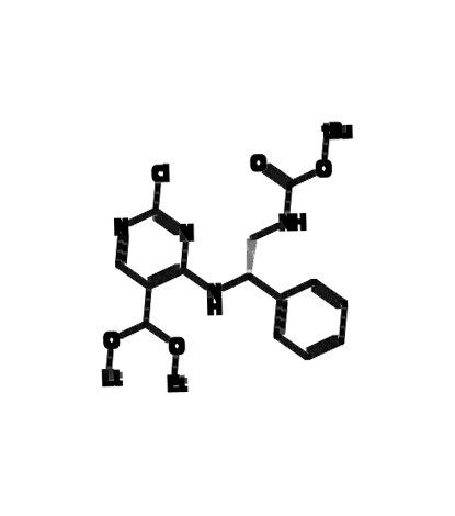 CCOC(OCC)c1cnc(Cl)nc1N[C@H](CNC(=O)OC(C)(C)C)c1ccccc1